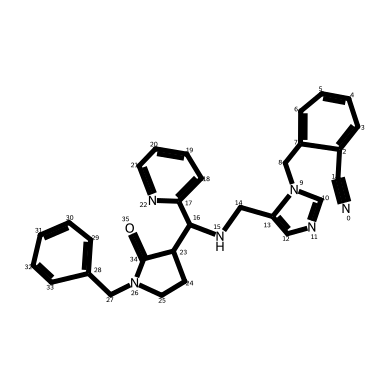 N#Cc1ccccc1Cn1cncc1CNC(c1ccccn1)C1CCN(Cc2ccccc2)C1=O